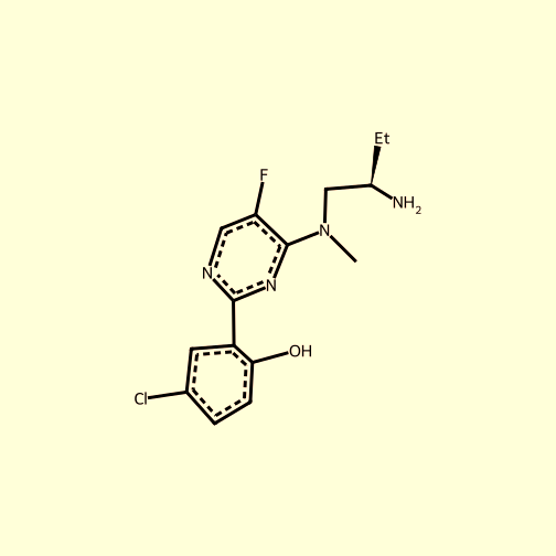 CC[C@@H](N)CN(C)c1nc(-c2cc(Cl)ccc2O)ncc1F